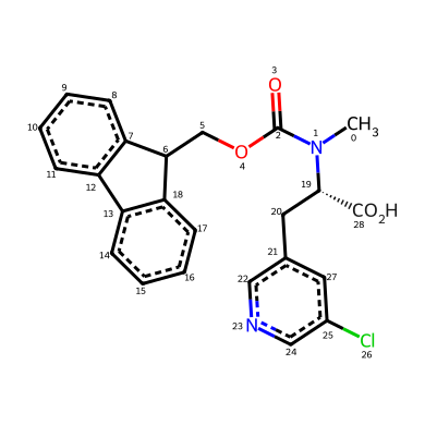 CN(C(=O)OCC1c2ccccc2-c2ccccc21)[C@@H](Cc1cncc(Cl)c1)C(=O)O